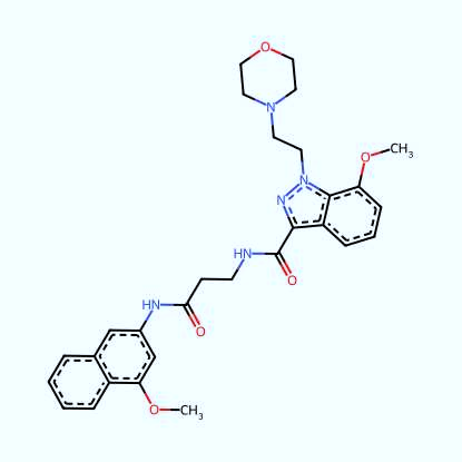 COc1cc(NC(=O)CCNC(=O)c2nn(CCN3CCOCC3)c3c(OC)cccc23)cc2ccccc12